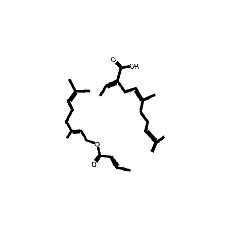 C/C=C(\CC=C(C)CCC=C(C)C)C(=O)O.C/C=C/C(=O)OC/C=C(\C)CCC=C(C)C